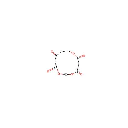 O=C1CCOC(=O)CC(=O)OCOC(=O)C1